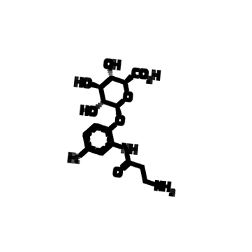 CCc1ccc(O[C@@H]2O[C@H](C(=O)O)[C@@H](O)[C@H](O)[C@H]2O)c(NC(=O)CCN)c1